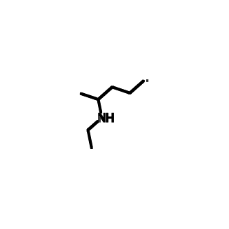 [CH2]CCC(C)NCC